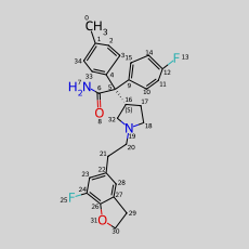 Cc1ccc(C(C(N)=O)(c2ccc(F)cc2)[C@@H]2CCN(CCc3cc(F)c4c(c3)CCO4)C2)cc1